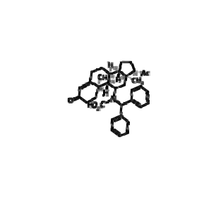 CC(=O)[C@H]1CC[C@H]2[C@@H]3CCC4=CC(=O)CC[C@]4(C)[C@H]3C(N(C(=O)O)C(c3ccccc3)c3ccccc3)C[C@]12C